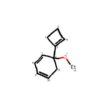 CCOC1(C2=CCC2)C=CC=CC1